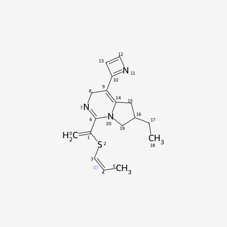 C=C(S/C=C\C)C1=NCC(C2=NC=C2)=C2CC(CC)CN12